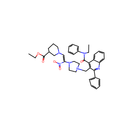 CCOC(=O)C1CCCN(C=C(N2CCN(Cc3c(-c4ccccc4)nc4ccccc4c3C(=O)N(CC)c3ccccc3)CC2)[N+](=O)[O-])C1